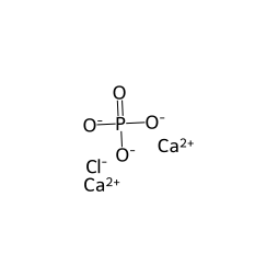 O=P([O-])([O-])[O-].[Ca+2].[Ca+2].[Cl-]